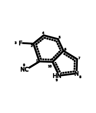 N#Cc1c(F)ccc2cn[nH]c12